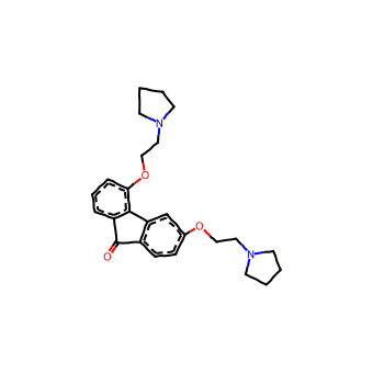 O=C1c2ccc(OCCN3CCCC3)cc2-c2c(OCCN3CCCC3)cccc21